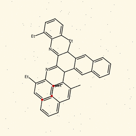 CCc1cccc(CC)c1/N=C1/C(=N/c2c(CC)cccc2CC)C(c2cc3ccccc3cc2C)c2cc3ccccc3cc2C1C